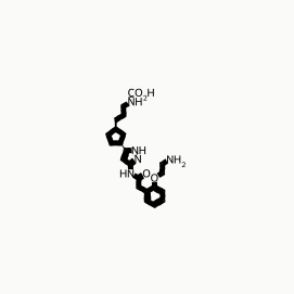 NCCOc1ccccc1CC(=O)Nc1cc([C@@H]2CC[C@@H](CCCNC(=O)O)C2)[nH]n1